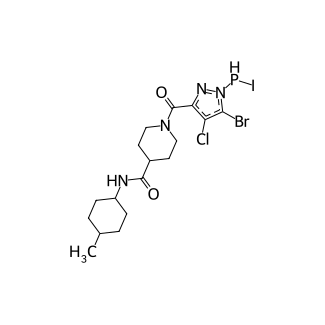 CC1CCC(NC(=O)C2CCN(C(=O)c3nn(PI)c(Br)c3Cl)CC2)CC1